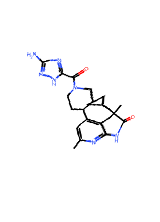 Cc1cc(C2CCN(C(=O)c3nc(N)n[nH]3)CC2)c2c(n1)NC(=O)C2(C)C1CC1